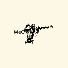 COC1=NO[C@@]2(CC[C@H](C)N3C[C@H]2n2cc(C(=O)NCc4ccc(F)cc4F)c(=O)c(OC(=O)CCCCCCC(C)C)c2C3=O)C1